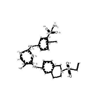 CCS(=O)(=O)N1CCc2cc(Nc3nc(Nc4ccc(C)c(S(N)(=O)=O)c4)ncc3F)ccc2C1